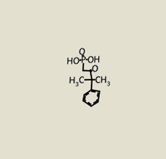 CC(C)(C(=O)CP(=O)(O)O)c1ccccc1